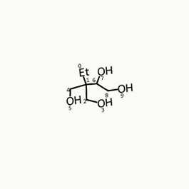 CCC(CO)(CO)C(O)CO